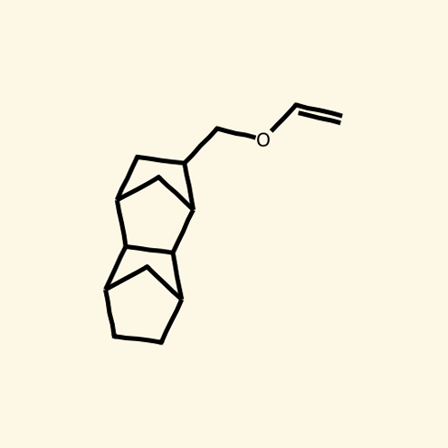 C=COCC1CC2CC1C1C3CCC(C3)C21